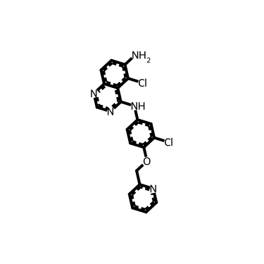 Nc1ccc2ncnc(Nc3ccc(OCc4ccccn4)c(Cl)c3)c2c1Cl